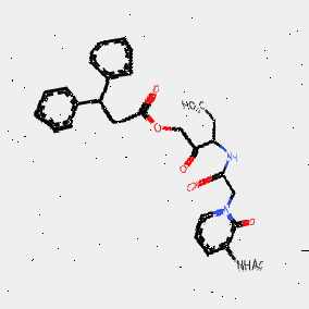 CC(=O)Nc1cccn(CC(=O)NC(CC(=O)O)C(=O)COC(=O)CC(c2ccccc2)c2ccccc2)c1=O